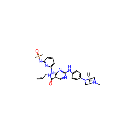 C=CCn1c(=O)c2cnc(Nc3ccc(N4CC5[C@H]4CN5C)cc3)nc2n1-c1cccc(N=S(C)(C)=O)n1